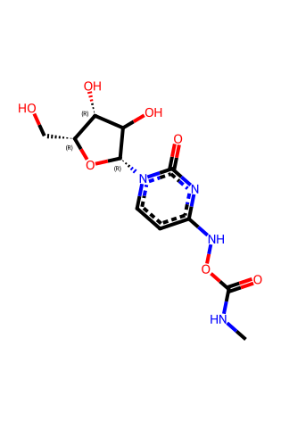 CNC(=O)ONc1ccn([C@@H]2O[C@H](CO)[C@H](O)C2O)c(=O)n1